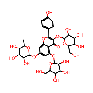 C[C@H]1OC(Oc2cc(OC3OC(CO)C(O)C(O)C3O)c3c(=O)c(OC4OC(CO)C(O)C(O)C4O)c(-c4ccc(O)cc4)oc3c2)[C@@H](O)[C@@H](O)[C@@H]1O